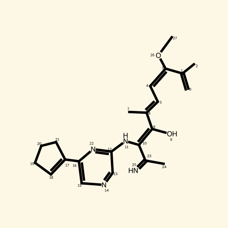 C=C(C)\C(=C/C=C(C)/C(O)=C(\Nc1cncc(C2=CCCC2)n1)C(C)=N)OC